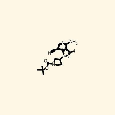 CC(C)(C)OC(=O)N1CCC(n2nc(I)c3c(N)ncc(C#N)c32)C1